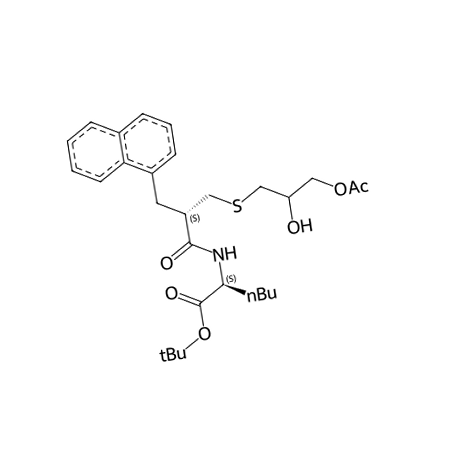 CCCC[C@H](NC(=O)[C@@H](CSCC(O)COC(C)=O)Cc1cccc2ccccc12)C(=O)OC(C)(C)C